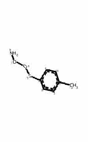 Cc1ccc(SOON)cc1